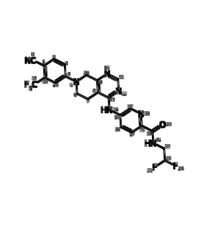 N#Cc1ccc(N2CCc3c(ncnc3Nc3ccc(C(=O)NCC(F)F)nc3)C2)cc1C(F)(F)F